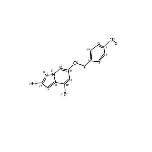 COc1ccc(COc2cc(Br)c3cc(F)nn3c2)cc1